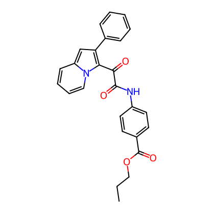 CCCOC(=O)c1ccc(NC(=O)C(=O)c2c(-c3ccccc3)cc3ccccn23)cc1